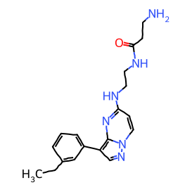 CCc1cccc(-c2cnn3ccc(NCCNC(=O)CCN)nc23)c1